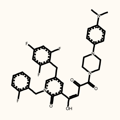 CN(C)c1ccc(N2CCN(C(=O)C(=O)/C=C(/O)c3cc(Cc4c(F)cc(F)cc4F)cn(Cc4ccccc4F)c3=O)CC2)cc1